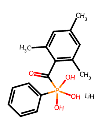 Cc1cc(C)c(C(=O)P(O)(O)(O)c2ccccc2)c(C)c1.[LiH]